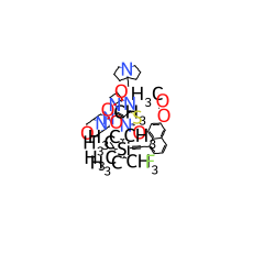 COCOc1cc(Oc2nc3c(N4CC5COCC(C4)N5C(=O)OC4(C)CCC4)nc(OCC45CCCN4CCC5)nc3s2)c2c(C#C[Si](C(C)C)(C(C)C)C(C)C)c(F)ccc2c1